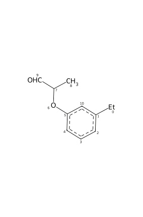 CCc1cccc(OC(C)C=O)c1